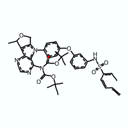 C=C/C=C\C(=C/C)S(=O)(=O)Nc1cccc(Oc2ccc(-n3c4c(c5ncnc(N(C(=O)OC(C)(C)C)C(=O)OC(C)(C)C)c53)C(C)OC4)cc2)c1